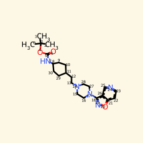 CC(C)(C)OC(=O)NC1CCC(CCN2CCN(c3noc4ccncc34)CC2)CC1